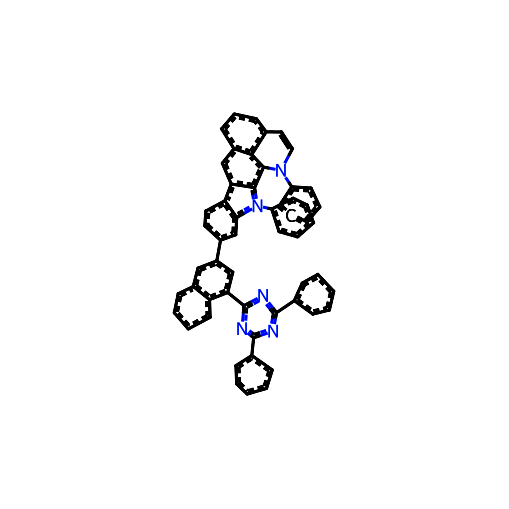 C1=CN(c2ccccc2)c2c3c1cccc3cc1c3ccc(-c4cc(-c5nc(-c6ccccc6)nc(-c6ccccc6)n5)c5ccccc5c4)cc3n(-c3ccccc3)c21